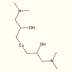 CN(C)CC(O)[CH2][Cu][CH2]C(O)CN(C)C